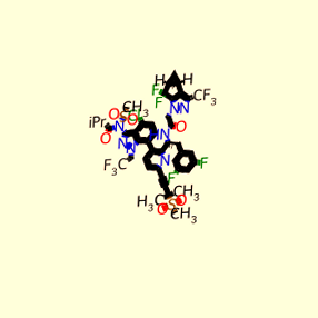 CC(C)C(=O)N(c1nn(CC(F)(F)F)c2c(-c3ccc(C#CC(C)(C)S(C)(=O)=O)nc3[C@H](Cc3cc(F)cc(F)c3)NC(=O)Cn3nc(C(F)(F)F)c4c3C(F)(F)[C@@H]3C[C@H]43)ccc(Cl)c12)S(C)(=O)=O